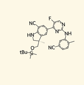 Cc1ccc(C#N)cc1Nc1ncc(F)c(-c2cc(C#N)c3c(c2)[C@@](C)(CO[Si](C)(C)C(C)(C)C)CN3)n1